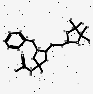 CC(=O)NC1(C)CC(CCB2OC(C)(C)C(C)(C)O2)N(Cc2ccccc2)C1